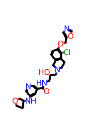 O=C(NCC(O)CN1CCc2c(ccc(OCc3cnco3)c2Cl)C1)c1cncc(NC2CCOC2)c1